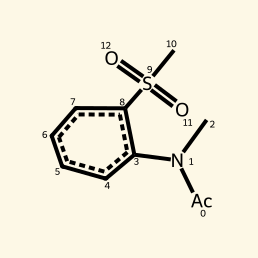 CC(=O)N(C)c1ccccc1S(C)(=O)=O